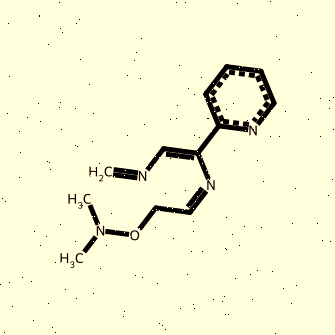 C=N/C=C(\N=C/CON(C)C)c1ccccn1